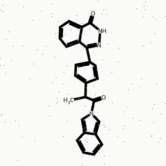 CC(C(=O)n1cc2ccccc2c1)c1ccc(-c2n[nH]c(=O)c3ccccc23)cc1